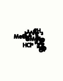 COc1ccc(CCN(C)CCCN2CCc3cc4c(cc3C2=O)OCO4)cc1OC.Cl